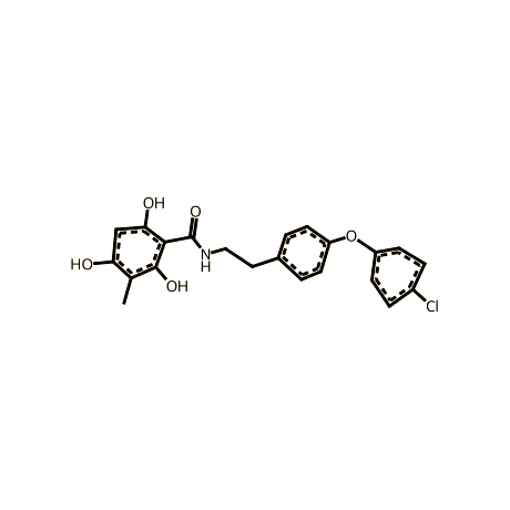 Cc1c(O)cc(O)c(C(=O)NCCc2ccc(Oc3ccc(Cl)cc3)cc2)c1O